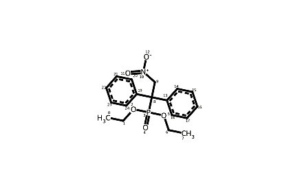 CCOP(=O)(OCC)C(C[N+](=O)[O-])(c1ccccc1)c1ccccc1